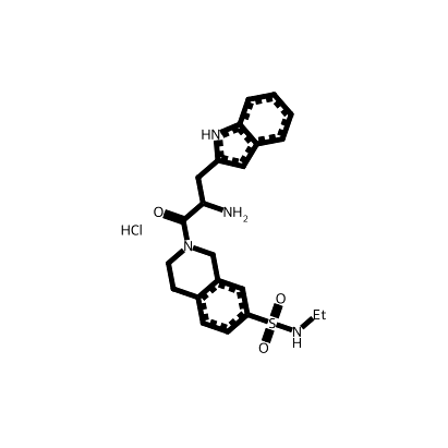 CCNS(=O)(=O)c1ccc2c(c1)CN(C(=O)C(N)Cc1cc3ccccc3[nH]1)CC2.Cl